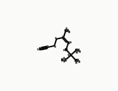 CC(CCC#N)=NO[Si](C)(C)C